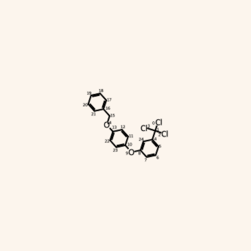 ClC(Cl)(Cl)c1cccc(Oc2ccc(OCc3ccccc3)cc2)c1